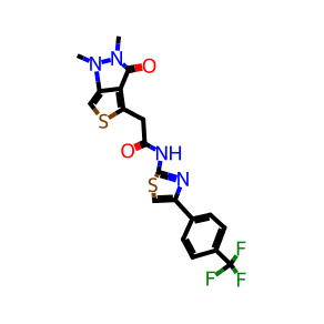 Cn1c(=O)c2c(CC(=O)Nc3nc(-c4ccc(C(F)(F)F)cc4)cs3)scc2n1C